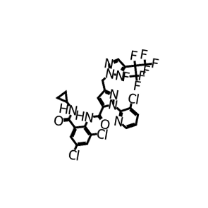 O=C(NC1CC1)c1cc(Cl)cc(Cl)c1NC(=O)c1cc(Cn2ncc(C(F)(C(F)(F)F)C(F)(F)F)n2)nn1-c1ncccc1Cl